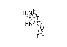 Nc1c(F)cc(F)c(C2(Cc3ccc(Oc4ccc(F)c(F)c4)cc3)CCNCC2)c1F